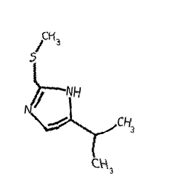 CSc1ncc(C(C)C)[nH]1